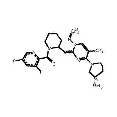 C=NN1C=C(C)C(N2CC[C@H](N)C2)=N/C1=C/C1CCCCN1C(=O)c1ncc(F)cc1F